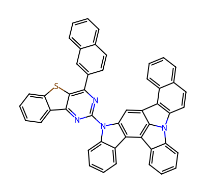 c1ccc2cc(-c3nc(-n4c5ccccc5c5c6c7ccccc7n7c8ccc9ccccc9c8c(cc54)c67)nc4c3sc3ccccc34)ccc2c1